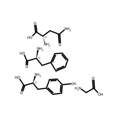 NC(=O)C[C@H](N)C(=O)O.NCC(=O)O.N[C@@H](Cc1ccc(O)cc1)C(=O)O.N[C@@H](Cc1ccccc1)C(=O)O